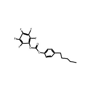 CCCCCc1ccc(OC(=O)Oc2c(F)c(F)c(F)c(F)c2F)cc1